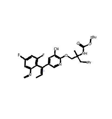 C=Nc1cc(F)cc(F)c1/C(=C\C)c1cnc(OCC(C)(CC(C)C)NC(=O)OC(C)(C)C)c(C#N)c1